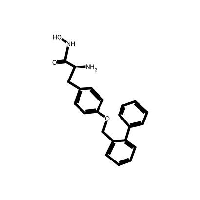 N[C@@H](Cc1ccc(OCc2ccccc2-c2ccccc2)cc1)C(=O)NO